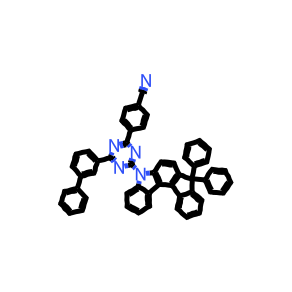 N#Cc1ccc(-c2nc(-c3cccc(-c4ccccc4)c3)nc(-n3c4ccccc4c4c5c(ccc43)C(c3ccccc3)(c3ccccc3)c3ccccc3-5)n2)cc1